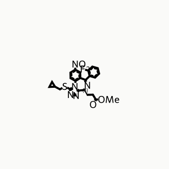 COC(=O)CC[C@@H]1N=C(c2ccccc2F)c2cc([N+](=O)[O-])ccc2-n2c(SCC3CC3)nnc21